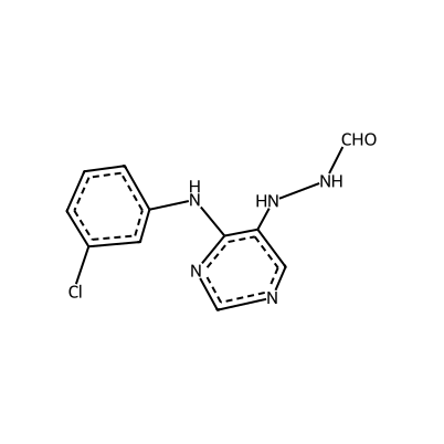 O=CNNc1cncnc1Nc1cccc(Cl)c1